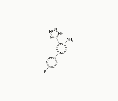 Nc1ccc(-c2ccc(F)cc2)cc1-c1nnn[nH]1